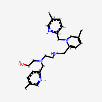 CC1=CC=C(CNCCN(CCO)Cc2ccc(C)cn2)N(Cc2ccc(C)cn2)C1